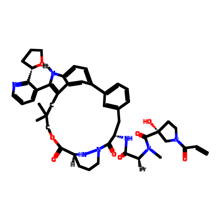 C=CC(=O)N1CC[C@](O)(C(=O)N(C)[C@H](C(=O)N[C@H]2Cc3cccc(c3)-c3ccc4c(c3)c(c(-c3cccnc3[C@@H]3CCCO3)n4CC)CC(C)(C)COC(=O)[C@@H]3CCCN(N3)C2=O)C(C)C)C1